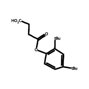 CC(C)(C)c1ccc(OC(=O)CCC(=O)O)c(C(C)(C)C)c1